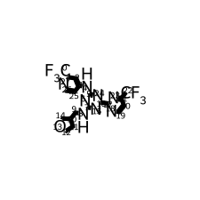 FC(F)(F)c1cc(Nc2nc(NCC3CCOC3)nc(-c3nccc(C(F)(F)F)n3)n2)ccn1